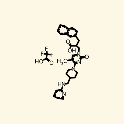 Cc1cn(CC(Cc2ccc3ccccc3c2)C(=O)O)c(=O)nc1N1CCC(CNc2ccccn2)CC1.O=C(O)C(F)(F)F